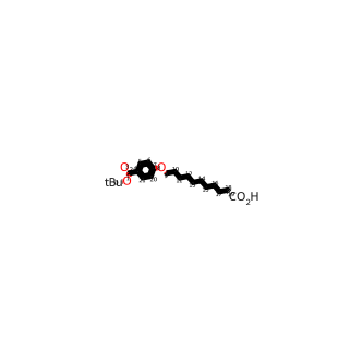 CC(C)(C)OC(=O)c1ccc(OCCCCCCCCCCC(=O)O)cc1